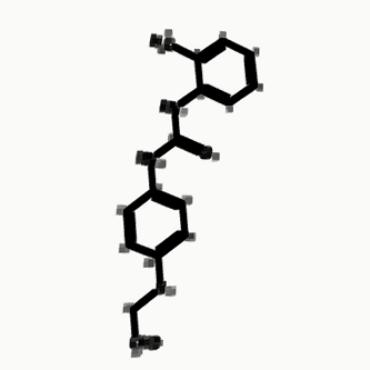 Cc1ccccc1NC(=O)Nc1ccc(SC[C]=O)cc1